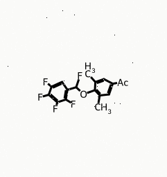 CC(=O)c1cc(C)c(OC(F)c2cc(F)c(F)c(F)c2F)c(C)c1